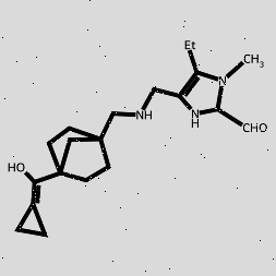 CCC1=C(CNCC23CCC(C(O)=C4CC4)(CC2)C3)NC(C=O)N1C